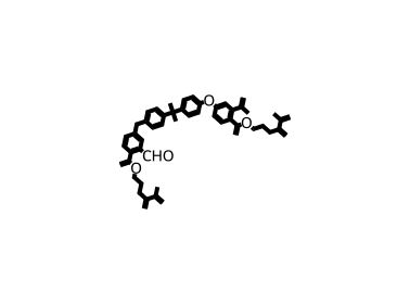 C=C(C)C(=C)CCCOC(=C)c1ccc(Cc2ccc(C(C)(C)c3ccc(Oc4ccc(C(=C)OCCCC(=C)C(=C)C)c(C(=C)C)c4)cc3)cc2)cc1C=O